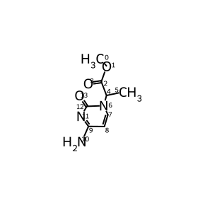 COC(=O)C(C)n1ccc(N)nc1=O